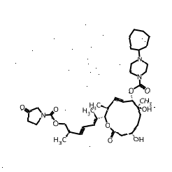 C/C(=C\C=C\[C@@H](C)COC(=O)N1CCC(=O)C1)[C@H]1OC(=O)C[C@@H](O)CC[C@](C)(O)[C@@H](OC(=O)N2CCN(C3CCCCCC3)CC2)/C=C/[C@@H]1C